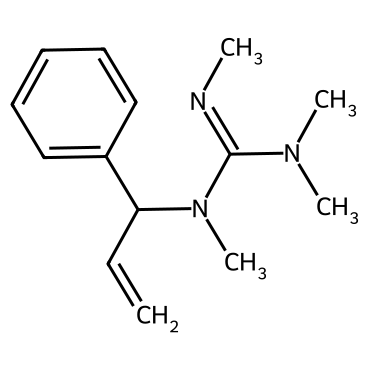 C=CC(c1ccccc1)N(C)C(=NC)N(C)C